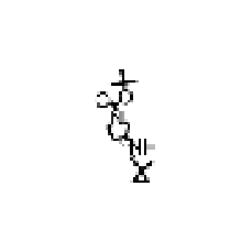 CC1(CN[C@H]2CCN(C(=O)OC(C)(C)C)C2)CC1